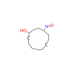 O=NC1CCCCCCCCC(O)CC1